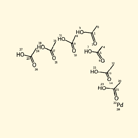 CC(=O)O.CC(=O)O.CC(=O)O.CC(=O)O.CC(=O)O.CC(=O)O.CC(=O)O.[Pd]